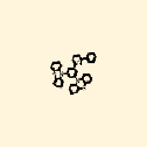 c1ccc(-c2cccc(-c3cc(N4c5ccccc5Sc5ccccc54)cc(N4c5ccccc5Sc5ccccc54)c3)n2)cc1